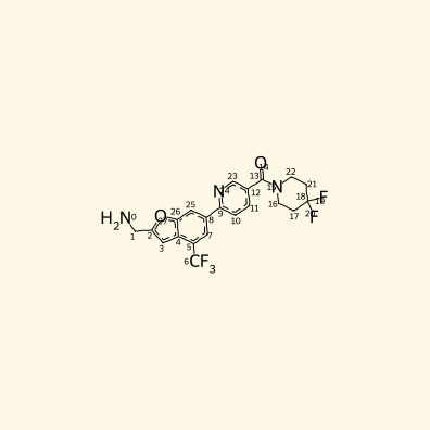 NCc1cc2c(C(F)(F)F)cc(-c3ccc(C(=O)N4CCC(F)(F)CC4)cn3)cc2o1